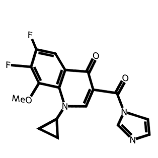 COc1c(F)c(F)cc2c(=O)c(C(=O)n3ccnc3)cn(C3CC3)c12